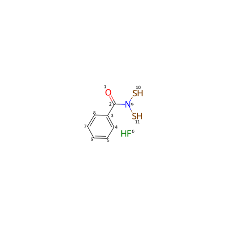 F.O=C(c1ccccc1)N(S)S